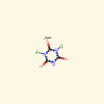 O=c1[nH]c(=O)n(Br)c(=O)n1Cl.[NaH]